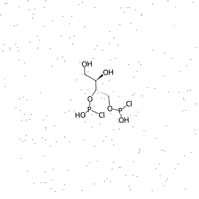 OC[C@@H](O)[C@H](COP(O)Cl)OP(O)Cl